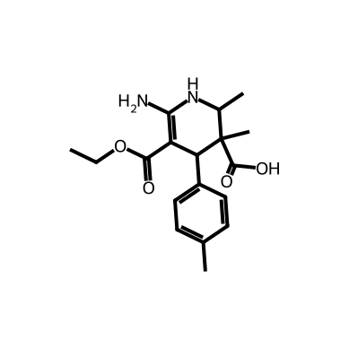 CCOC(=O)C1=C(N)NC(C)C(C)(C(=O)O)C1c1ccc(C)cc1